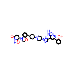 Nc1nnc(-c2ccccc2O)cc1-c1cnn(C2CCN(C3CCC(c4cccc5c4OCCN5[C@@H]4CCC(=O)NC4=O)CC3)CC2)n1